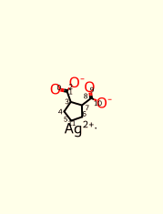 O=C([O-])C1CCCC1C(=O)[O-].[Ag+2]